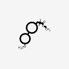 CCOC(=O)C(F)(F)CC1CCCCCCC(C2CCCCCC[C@H](OC)CCCC2)CCCCC1